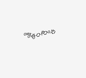 COC(=O)[C@H]1COC(c2ccc(C(C)(c3ccc(OCc4ccccn4)cc3)C(C)C)cc2)=N1